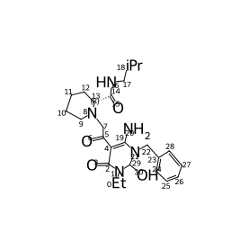 CCN1C(=O)C(C(=O)CN2CCCC[C@@H]2C(=O)NCC(C)C)=C(N)N(Cc2ccccc2)C1O